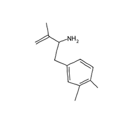 C=C(C)C(N)Cc1ccc(C)c(C)c1